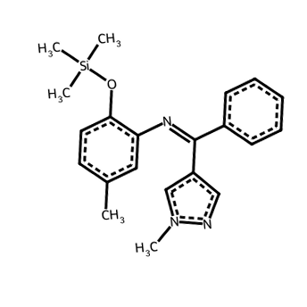 Cc1ccc(O[Si](C)(C)C)c(N=C(c2ccccc2)c2cnn(C)c2)c1